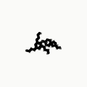 CCCCc1cc(CCCC)c(OP2OCC(CC)(CCCC)CO2)c(CCCC)c1